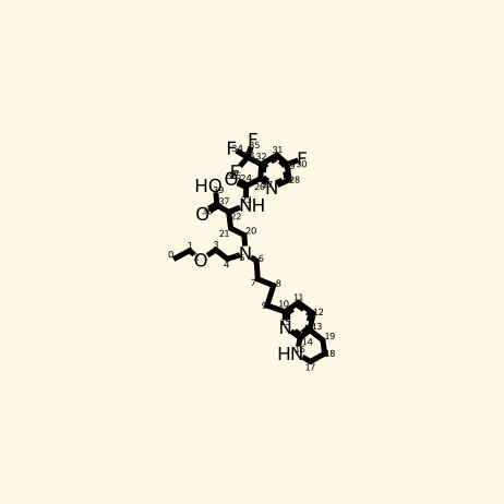 CCOCCN(CCCCc1ccc2c(n1)NCCC2)CCC(NC(=O)c1ncc(F)cc1C(F)(F)F)C(=O)O